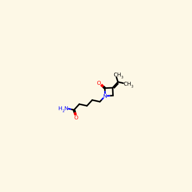 CC(C)=C1CN(CCCCC(N)=O)C1=O